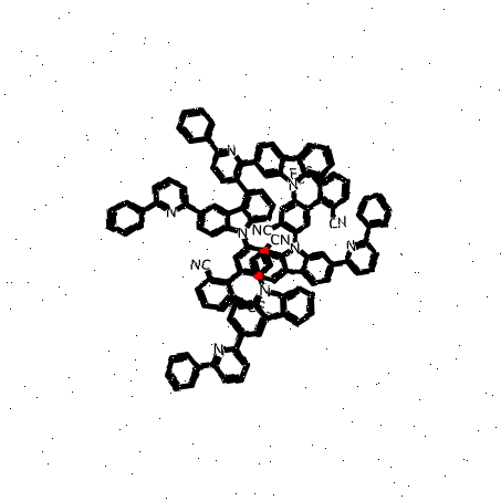 N#Cc1cc(-n2c3ccccc3c3ccc(-c4nc(-c5ccccc5)ccc4-c4cccc5c4c4cc(-c6cccc(-c7ccccc7)n6)ccc4n5-c4cc(-c5c(C#N)cccc5C(F)(F)F)c(-n5c6ccccc6c6cc(-c7cccc(-c8ccccc8)n7)ccc65)cc4C#N)cc32)c(-c2c(C#N)cccc2C(F)(F)F)cc1-n1c2ccccc2c2ccc(-c3cccc(-c4ccccc4)n3)cc21